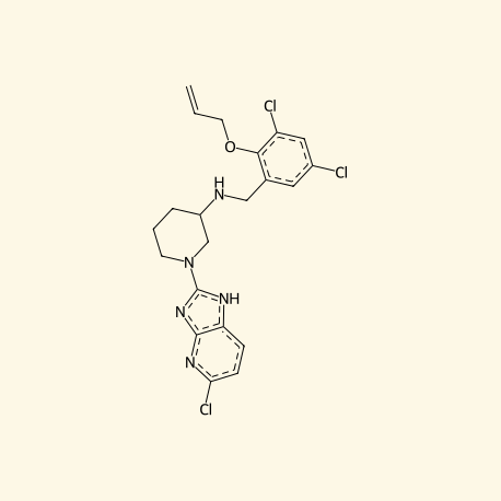 C=CCOc1c(Cl)cc(Cl)cc1CNC1CCCN(c2nc3nc(Cl)ccc3[nH]2)C1